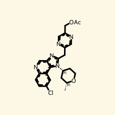 CC(=O)OCc1cnc(Cc2nc3cnc4ccc(Cl)cc4c3n2[C@@H]2CCO[C@H](C)C2)cn1